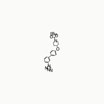 CC(C)(C)OC(=O)N1CCC(Oc2ccc(-c3cccc(-n4cnnn4)c3)cc2)CC1